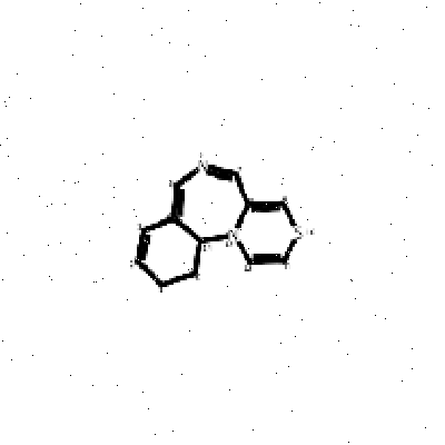 [C]1CC=CC2=CN=CC3=CSC=CN3C12